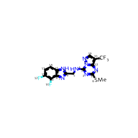 CSc1nc(NCc2nc3c(F)c(F)ccc3[nH]2)n2ncc(C(F)(F)F)c2n1